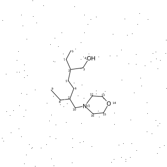 CCC(CO)CCC(CC)CN1CCOCC1